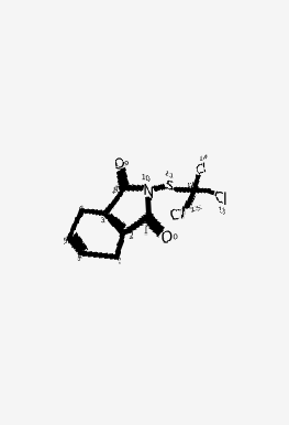 O=C1C2=C(CC=CC2)C(=O)N1SC(Cl)(Cl)Cl